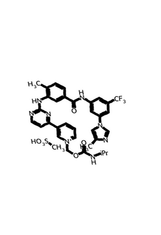 CS(=O)(=O)O.Cc1cn(-c2cc(NC(=O)c3ccc(C)c(Nc4nccc(-c5ccc[n+](COC(=O)NC(C)C)c5)n4)c3)cc(C(F)(F)F)c2)cn1